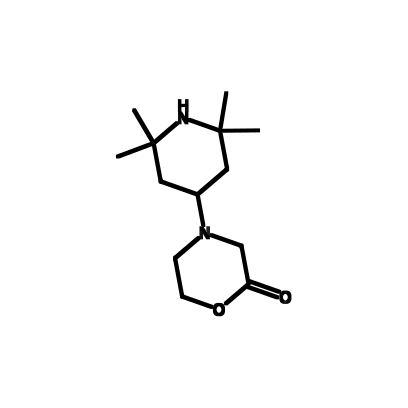 CC1(C)CC(N2CCOC(=O)C2)CC(C)(C)N1